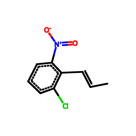 CC=Cc1c(Cl)cccc1[N+](=O)[O-]